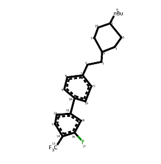 CCCCC1CCC(CCc2ccc(-c3ccc(C(F)(F)F)c(F)c3)cc2)CC1